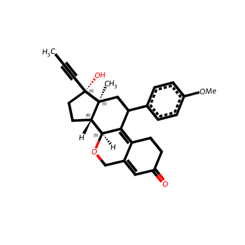 CC#C[C@]1(O)CC[C@H]2[C@@H]3OCC4=CC(=O)CCC4=C3C(c3ccc(OC)cc3)C[C@@]21C